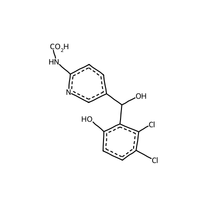 O=C(O)Nc1ccc(C(O)c2c(O)ccc(Cl)c2Cl)cn1